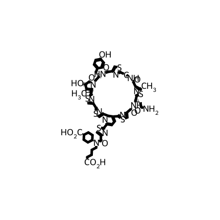 Cc1sc2nc1C(=O)NCc1nc(cs1)C(=O)N[C@@H](Cc1ccc(O)cc1)C(=O)N1C[C@H](O)[C@H](C)[C@H]1c1nc(cs1)-c1nc(cs1)-c1nc(-c3nc(C(=O)N(CCCCC(=O)O)[C@H]4CC[C@H](C(=O)O)CC4)cs3)ccc1-c1nc(cs1)C(=O)N[C@H]2CC(N)=O